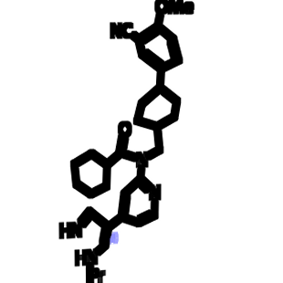 COc1ccc(C2CCC(CN(C(=O)C3CCCCC3)c3cc(/C(C=N)=C/NC(C)C)ccn3)CC2)cc1C#N